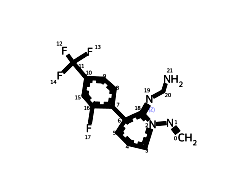 C=Nn1cccc(-c2ccc(C(F)(F)F)cc2F)/c1=N/CN